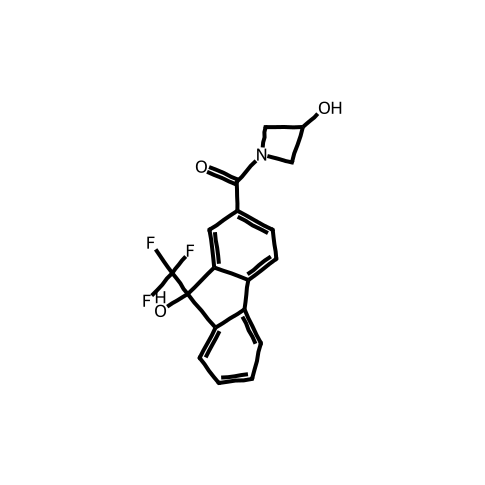 O=C(c1ccc2c(c1)C(O)(C(F)(F)F)c1ccccc1-2)N1CC(O)C1